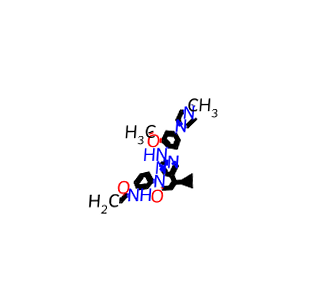 C=CC(=O)Nc1cccc(-n2c(=O)cc(C3CC3)c3cnc(Nc4ccc(N5CCN(C)CC5)cc4OC)nc32)c1